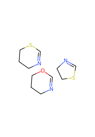 C1=NCCCO1.C1=NCCCS1.C1=NCCS1